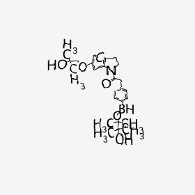 CC(C)(O)COc1ccc2c(c1)N(C(=O)Cc1ccc(BOC(C)(C)C(C)(C)O)cc1)CC2